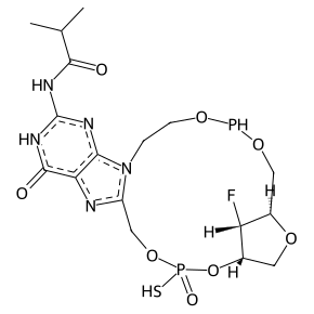 CC(C)C(=O)Nc1nc2c(nc3n2CCOPOC[C@H]2OC[C@H](OP(=O)(S)OC3)[C@@H]2F)c(=O)[nH]1